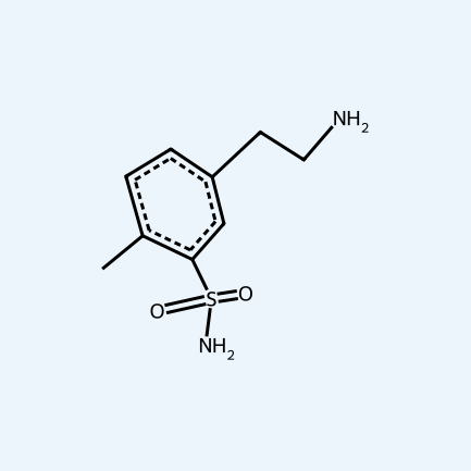 Cc1ccc(CCN)cc1S(N)(=O)=O